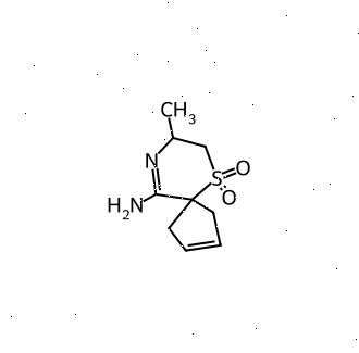 CC1CS(=O)(=O)C2(CC=CC2)C(N)=N1